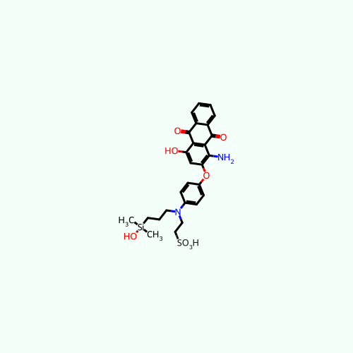 C[Si](C)(O)CCCN(CCS(=O)(=O)O)c1ccc(Oc2cc(O)c3c(c2N)C(=O)c2ccccc2C3=O)cc1